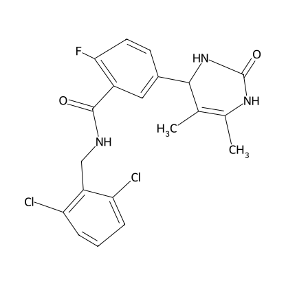 CC1=C(C)C(c2ccc(F)c(C(=O)NCc3c(Cl)cccc3Cl)c2)NC(=O)N1